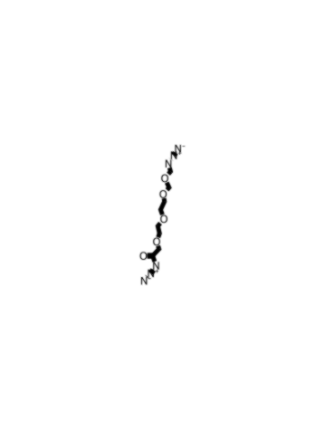 [N-]=[N+]=NCOCOCCOCCOCC(=O)N=[N+]=[N-]